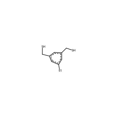 CCc1cc(CS)cc(CS)c1